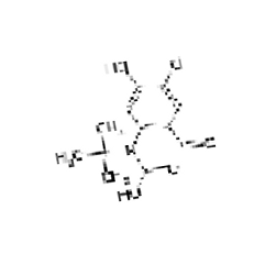 CC(C)(C)N(C(=O)O)c1cc(O)c(Cl)cc1C=O